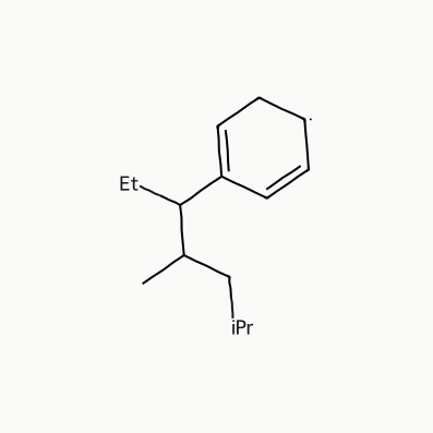 CCC(C1=CC[CH]C=C1)C(C)CC(C)C